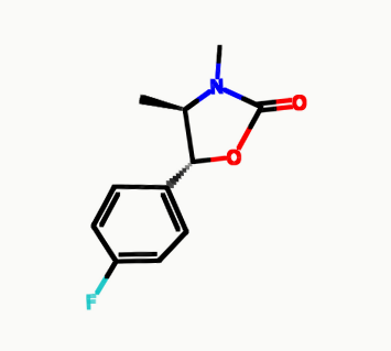 C[C@@H]1[C@@H](c2ccc(F)cc2)OC(=O)N1C